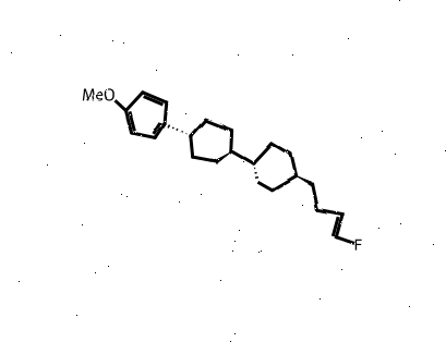 COc1ccc([C@H]2CC[C@H]([C@H]3CC[C@H](CC/C=C/F)CC3)CC2)cc1